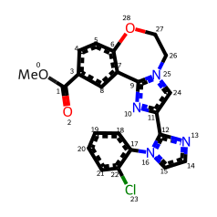 COC(=O)c1ccc2c(c1)-c1nc(-c3nccn3-c3ccccc3Cl)cn1CCO2